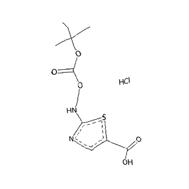 CC(C)(C)OC(=O)ONc1ncc(C(=O)O)s1.Cl